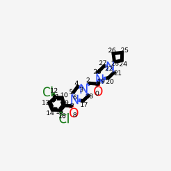 O=C(CN1CCN(C(=O)c2cc(Cl)ccc2Cl)CC1)N1CCN(C2CCC2)CC1